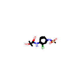 CC(C)(O)C(=O)Nc1ccc(NS(C)(=O)=O)cc1Cl